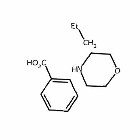 C1COCCN1.CCC.O=C(O)c1ccccc1